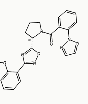 COc1ccccc1-c1noc([C@@H]2CCCN2C(=O)c2ccccc2-n2nccn2)n1